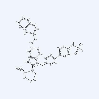 CS(=O)(=O)Nc1ccc(-c2ccc(Cn3c([C@H]4CCCC[C@H]4C(=O)O)nc4cc(OCc5ccc6ccccc6n5)ccc43)cc2)cc1